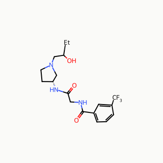 CCC(O)CN1CC[C@@H](NC(=O)CNC(=O)c2cccc(C(F)(F)F)c2)C1